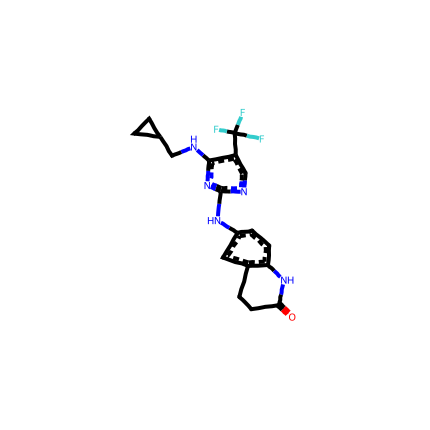 O=C1CCc2cc(Nc3ncc(C(F)(F)F)c(NCC4CC4)n3)ccc2N1